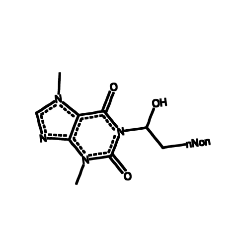 CCCCCCCCCCC(O)n1c(=O)c2c(ncn2C)n(C)c1=O